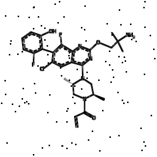 C=CC(=O)N1C[C@H](C)N(c2nc(OCC(C)(C)N)nc3c(F)c(-c4c(O)cccc4F)c(Cl)cc23)C[C@H]1C